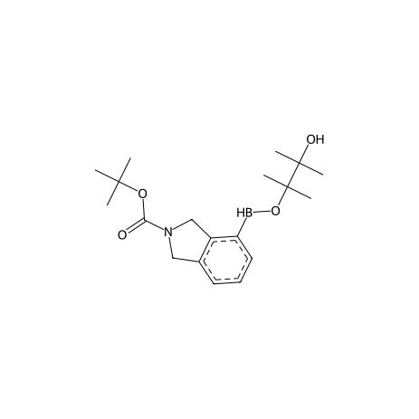 CC(C)(C)OC(=O)N1Cc2cccc(BOC(C)(C)C(C)(C)O)c2C1